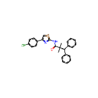 CC(C)(C(=O)Nc1nc(-c2ccc(Cl)cc2)cs1)C(c1ccccc1)c1ccccc1